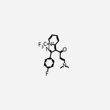 CN(C)C=CC(=O)C1=C2C=CC=C[N+]2(C(F)(F)F)N=C1c1ccc(F)cc1